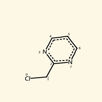 Cl[CH]c1ncccn1